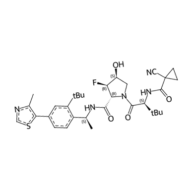 Cc1ncsc1-c1ccc([C@H](C)NC(=O)[C@@H]2[C@@H](F)[C@@H](O)CN2C(=O)[C@@H](NC(=O)C2(C#N)CC2)C(C)(C)C)c(C(C)(C)C)c1